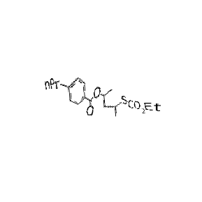 CCCc1ccc(C(=O)OC(C)CC(C)SC(=O)OCC)cc1